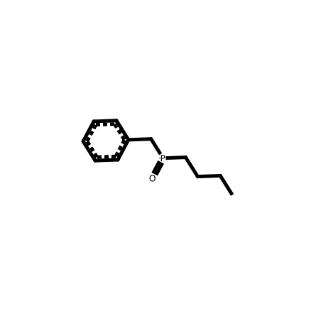 CCCC[P](=O)Cc1ccccc1